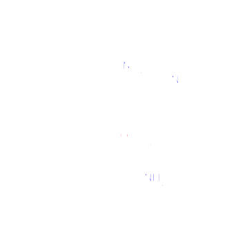 CCC(=O)ON.N#CCC(N)=O